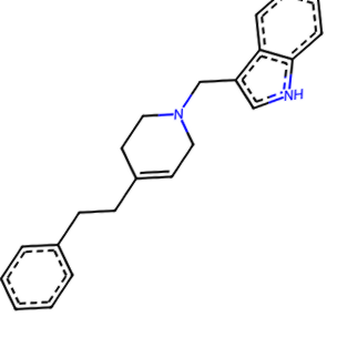 C1=C(CCc2ccccc2)CCN(Cc2c[nH]c3ccccc23)C1